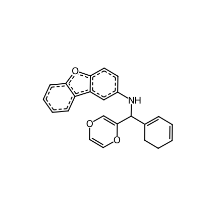 C1=CCCC(C(Nc2ccc3oc4ccccc4c3c2)C2=COC=CO2)=C1